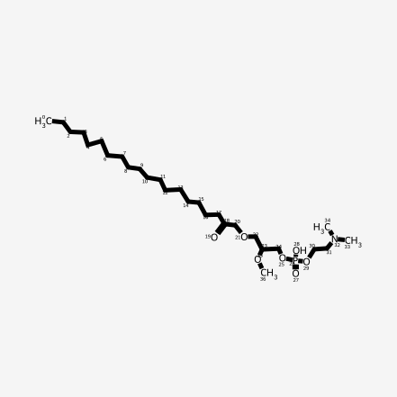 CCCCCCCCCCCCCCCCCCC(=O)COCC(COP(=O)(O)OCCN(C)C)OC